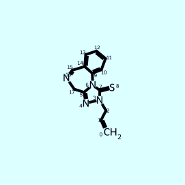 C=CCn1nc2n(c1=S)-c1ccccc1C=NC2